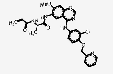 C=CC(=O)N[C@H](C)C(=O)Nc1cc2c(Nc3ccc(OCc4ccccn4)c(Cl)c3)ncnc2cc1OC